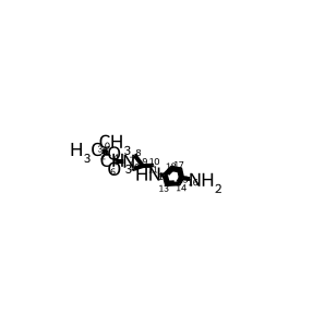 CC(C)(C)OC(=O)N1CC(CNc2ccc(N)cc2)C1